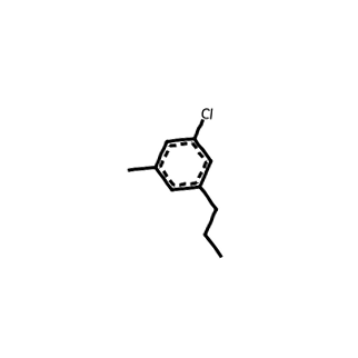 CCCc1cc(C)cc(Cl)c1